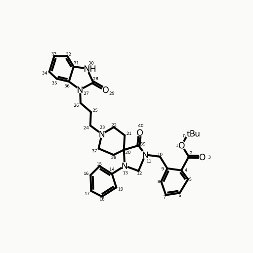 CC(C)(C)OC(=O)c1ccccc1CN1CN(c2ccccc2)C2(CCN(CCCn3c(=O)[nH]c4ccccc43)CC2)C1=O